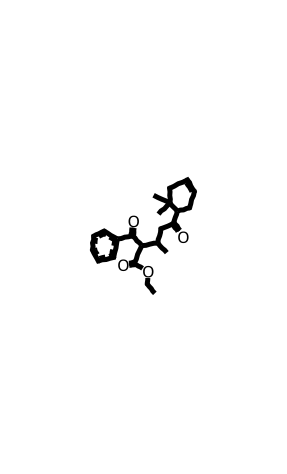 CCOC(=O)C(C(=O)c1ccccc1)C(C)CC(=O)C1CC=CCC1(C)C